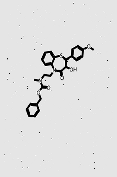 COc1ccc(C2Sc3ccccc3N(CCN(C)C(=O)OCc3ccccc3)C(=O)C2O)cc1